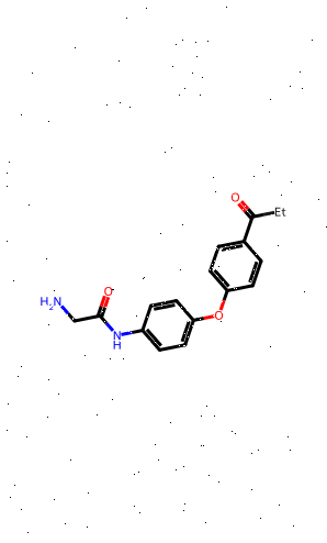 CCC(=O)c1ccc(Oc2ccc(NC(=O)CN)cc2)cc1